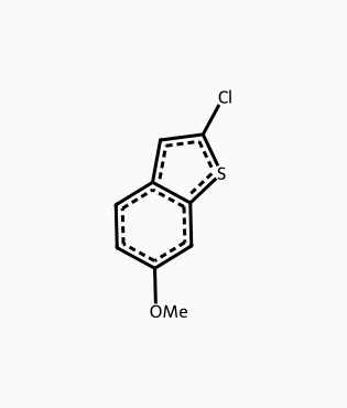 COc1ccc2cc(Cl)sc2c1